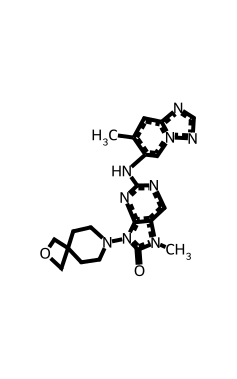 Cc1cc2ncnn2cc1Nc1ncc2c(n1)n(N1CCC3(CC1)COC3)c(=O)n2C